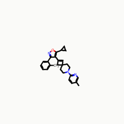 Cc1ccc(N2CCC3(C=C(c4c(-c5ccccc5C(F)(F)F)noc4C4CC4)C3)CC2)nc1